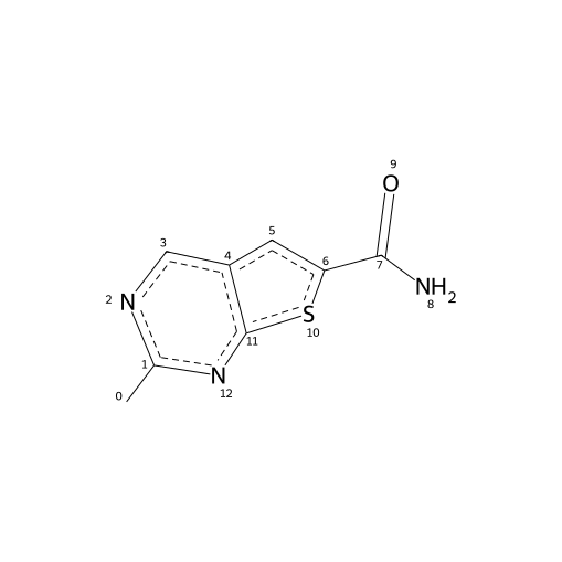 Cc1ncc2cc(C(N)=O)sc2n1